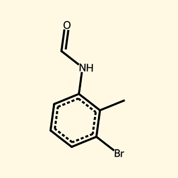 Cc1c(Br)cccc1NC=O